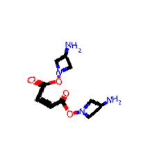 NC1CN(OC(=O)/C=C\C(=O)ON2CC(N)C2)C1